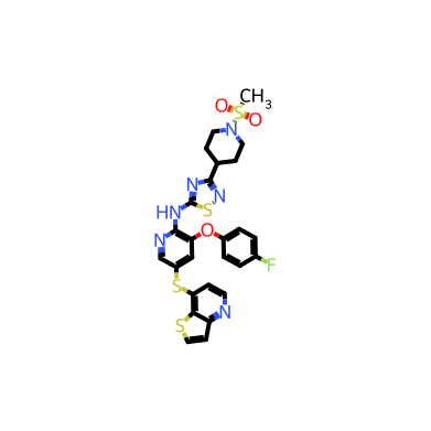 CS(=O)(=O)N1CCC(c2nsc(Nc3ncc(Sc4ccnc5ccsc45)cc3Oc3ccc(F)cc3)n2)CC1